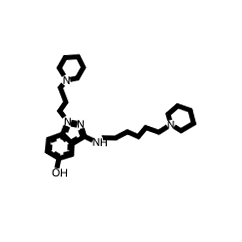 Oc1ccc2c(c1)c(NCCCCCCN1CCCCC1)nn2CCCN1CCCCC1